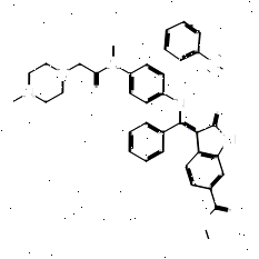 COC(=O)c1ccc2c(c1)NC(=O)/C2=C(\Nc1ccc(N(C)C(=O)CN2CCN(C)CC2)cc1)c1ccccc1.O.O=S(=O)(O)c1ccccc1